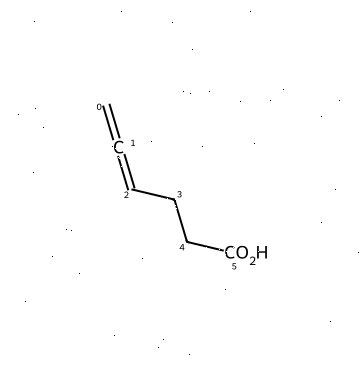 C=C=CCCC(=O)O